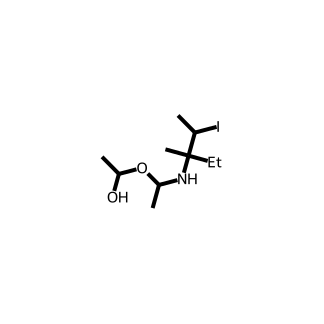 CCC(C)(NC(C)OC(C)O)C(C)I